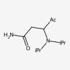 CC(=O)C(CC(N)=O)N(C(C)C)C(C)C